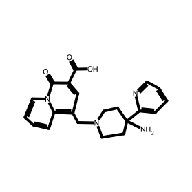 NC1(c2ccccn2)CCN(Cc2cc(C(=O)O)c(=O)n3ccccc23)CC1